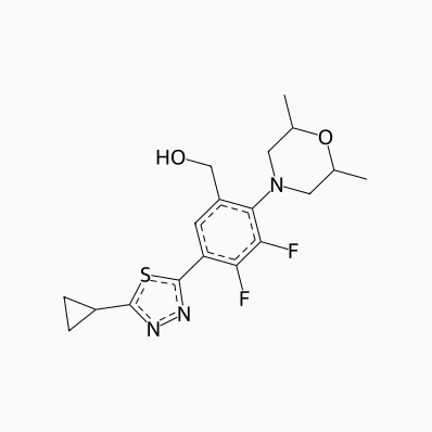 CC1CN(c2c(CO)cc(-c3nnc(C4CC4)s3)c(F)c2F)CC(C)O1